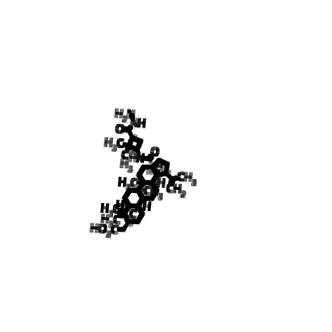 C=C(C)[C@@H]1CC[C@]2(C(=O)N[C@@H]3C[C@H](C(=O)NN)C3(C)C)CC[C@]3(C)[C@H](CC[C@@H]4[C@]5(C)CC[C@@H](CC(=O)O)C(C)(C)[C@H]5CC[C@]43C)[C@@H]12